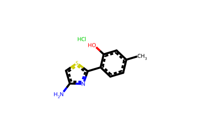 Cc1ccc(-c2nc(N)cs2)c(O)c1.Cl